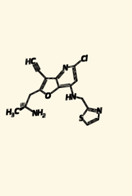 C#Cc1c(C[C@H](C)N)oc2c(NCc3nccs3)cc(Cl)nc12